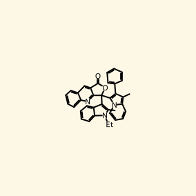 CCn1c(C)c(C2(c3c(-c4ccccc4)c(C)c4ccccn34)OC(=O)c3cc4ccccc4nc32)c2ccccc21